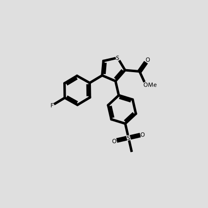 COC(=O)c1scc(-c2ccc(F)cc2)c1-c1ccc(S(C)(=O)=O)cc1